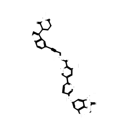 Cc1cc(-c2ccc(Nc3cc(C(C)C)c4c(c3)n(C)c(=O)n4C)cn2)cnc1C(=O)NCC#Cc1ccc2occ(C3CCC(=O)NC3=O)c2c1